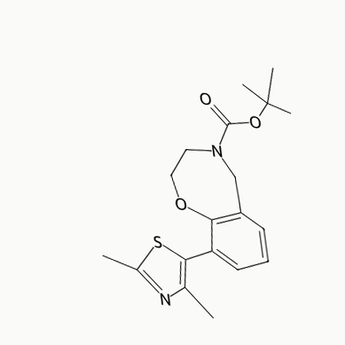 Cc1nc(C)c(-c2cccc3c2OCCN(C(=O)OC(C)(C)C)C3)s1